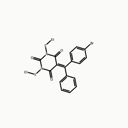 CCSN1C(=O)C(=C(c2ccccc2)c2ccc(Br)cc2)C(=O)N(SCC)C1=O